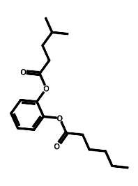 CCCCCC(=O)Oc1ccccc1OC(=O)CCC(C)C